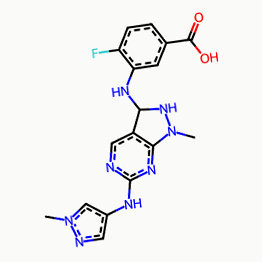 CN1NC(Nc2cc(C(=O)O)ccc2F)c2cnc(Nc3cnn(C)c3)nc21